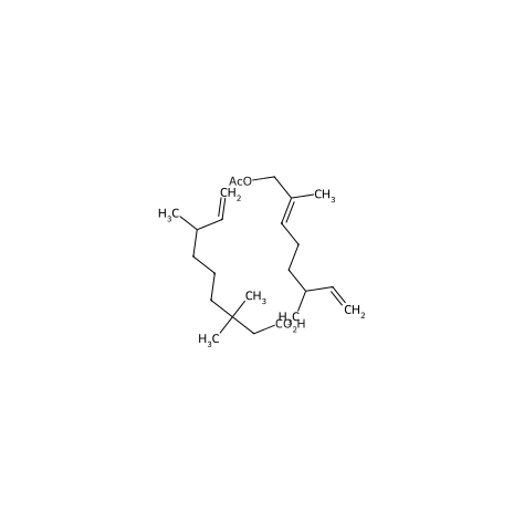 C=CC(C)CCC=C(C)COC(C)=O.C=CC(C)CCCC(C)(C)CC(=O)O